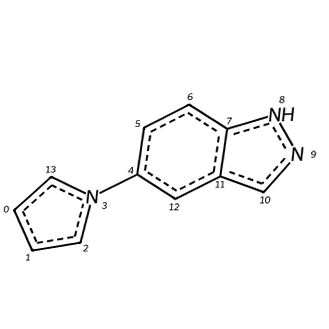 c1ccn(-c2ccc3[nH]ncc3c2)c1